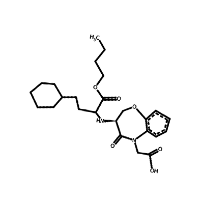 CCCCOC(=O)C(CCC1CCCCC1)N[C@H]1COc2ccccc2N(CC(=O)O)C1=O